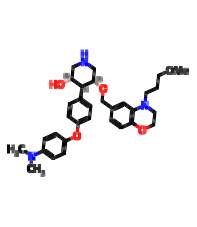 COCCCN1CCOc2ccc(CO[C@H]3CNC[C@@H](O)[C@@H]3c3ccc(Oc4ccc(N(C)C)cc4)cc3)cc21